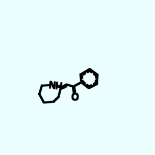 O=C(C=C1CCCCCN1)c1ccccc1